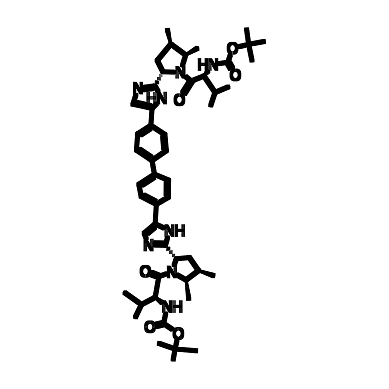 CC(C)[C@H](NC(=O)OC(C)(C)C)C(=O)N1[C@H](C)[C@H](C)C[C@H]1c1ncc(-c2ccc(-c3ccc(-c4cnc([C@@H]5C[C@@H](C)[C@@H](C)N5C(=O)[C@@H](NC(=O)OC(C)(C)C)C(C)C)[nH]4)cc3)cc2)[nH]1